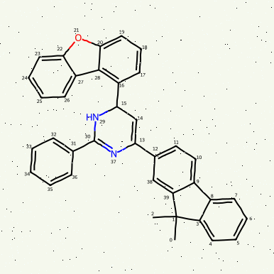 CC1(C)c2ccccc2-c2ccc(C3=CC(c4cccc5oc6ccccc6c45)NC(c4ccccc4)=N3)cc21